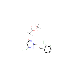 CC1(C)OCC(C(C)(C)Oc2cc(Cl)nc(SCc3cccc(F)c3F)n2)O1